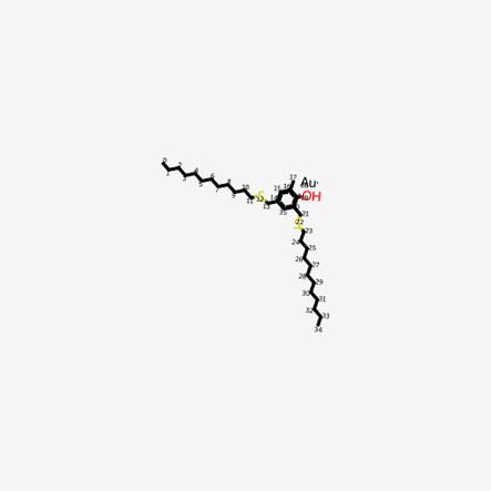 CCCCCCCCCCCCSCc1cc(C)c(O)c(CSCCCCCCCCCCCC)c1.[Au]